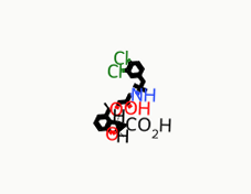 C[C@@H](OCC(O)CNC(C)(C)Cc1ccc(Cl)c(Cl)c1)c1cccc2c1[C@@H]1[C@H](O2)[C@H]1C(=O)O